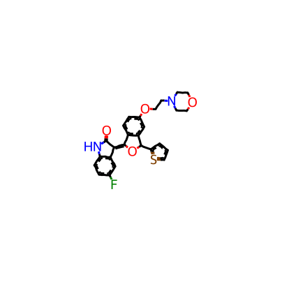 O=C1Nc2ccc(F)cc2C1=C1OC(c2cccs2)c2cc(OCCN3CCOCC3)ccc21